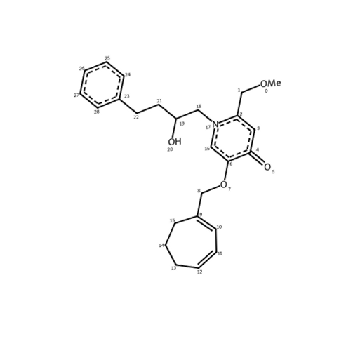 COCc1cc(=O)c(OCC2=CC=CCCC2)cn1CC(O)CCc1ccccc1